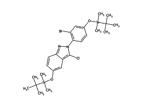 CC(C)(C)[Si](C)(C)Oc1ccc(-n2nc3ccc(O[Si](C)(C)C(C)(C)C)cc3c2Cl)c(Br)c1